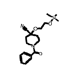 C[Si](C)(C)OCCOC1(C#N)CCN(C(=O)c2ccccc2)CC1